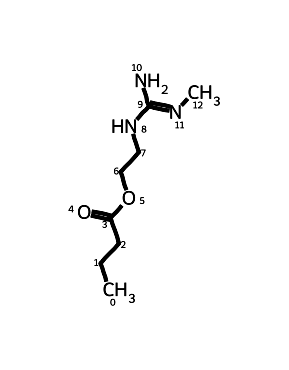 CCCC(=O)OCCNC(N)=NC